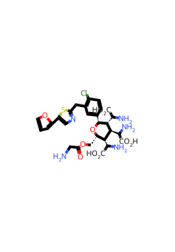 NCC(=O)OC[C@@H]1O[C@H](c2ccc(Cl)c(Cc3ncc(-c4ccco4)s3)c2)[C@H](C(N)C(=O)O)[C@@H](C(N)C(=O)O)[C@@H]1C(N)C(=O)O